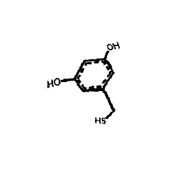 Oc1cc(O)cc(CS)c1